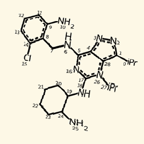 CC(C)c1nnc2c(NCc3c(N)cccc3Cl)nc(NC3CCCCC3N)n(C(C)C)c1-2